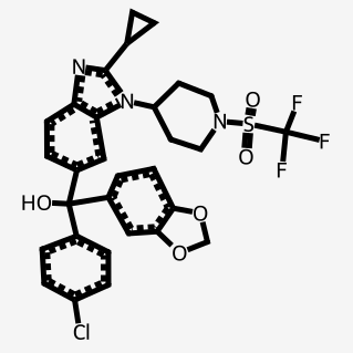 O=S(=O)(N1CCC(n2c(C3CC3)nc3ccc(C(O)(c4ccc(Cl)cc4)c4ccc5c(c4)OCO5)cc32)CC1)C(F)(F)F